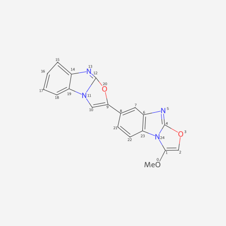 COc1coc2nc3cc(-c4cn5c(nc6ccccc65)o4)ccc3n12